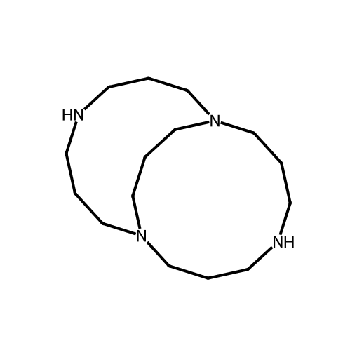 C1CNCCCN2CCCNCCCN(C1)CCC2